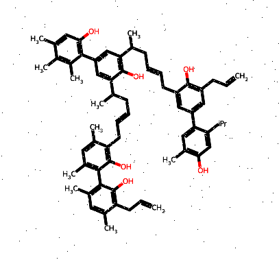 C=CCc1cc(-c2cc(C)c(O)cc2C(C)C)cc(C/C=C/CC(C)c2cc(-c3c(O)cc(C)c(C)c3C)cc(C(C)C/C=C/Cc3c(C)cc(C)c(-c4c(C)cc(C)c(CC=C)c4O)c3O)c2O)c1O